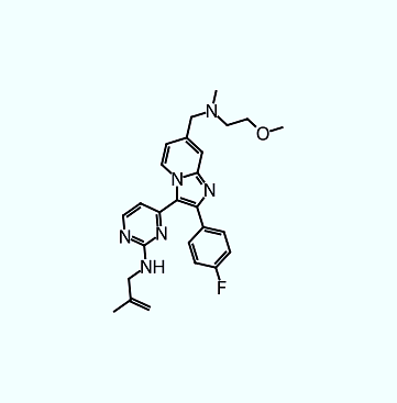 C=C(C)CNc1nccc(-c2c(-c3ccc(F)cc3)nc3cc(CN(C)CCOC)ccn23)n1